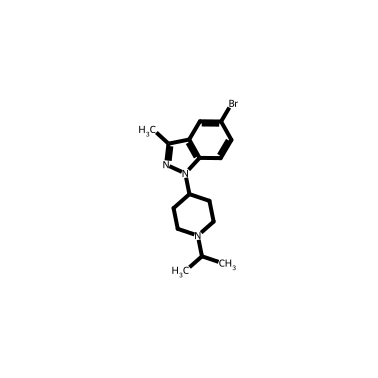 Cc1nn(C2CCN(C(C)C)CC2)c2ccc(Br)cc12